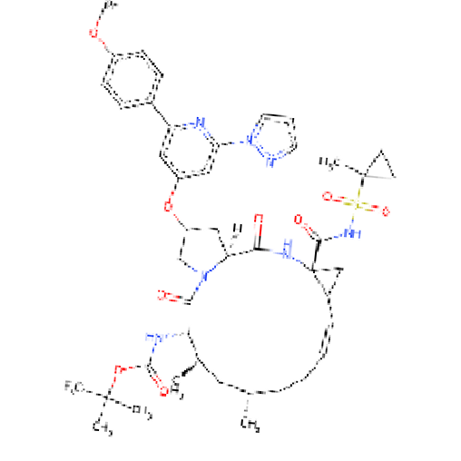 CC(C)Oc1ccc(-c2cc(O[C@@H]3C[C@H]4C(=O)N[C@]5(C(=O)NS(=O)(=O)C6(C)CC6)CC5/C=C\CC[C@H](C)C[C@@H](C)[C@H](NC(=O)OC(C)(C)C(F)(F)F)C(=O)N4C3)cc(-n3cccn3)n2)cc1